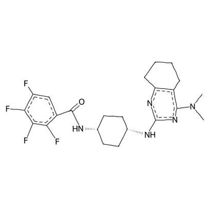 CN(C)c1nc(N[C@H]2CC[C@@H](NC(=O)c3cc(F)c(F)c(F)c3F)CC2)nc2c1CCCC2